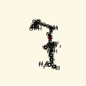 CC1(C)CCC(c2ccc(Cl)cc2)=C(CN2CCN(c3ccc(C(=O)NS(=O)(=O)c4ccc(N[C@H](CCN5CCN(C(=O)CCCN6C=C(COCCOCCNc7cccc8c7C(=O)N(C7CCC(=O)NC7=O)C8=O)NN6)CC5)CSc5ccccc5)c(S(=O)(=O)C(F)(F)F)c4)cc3)CC2)C1